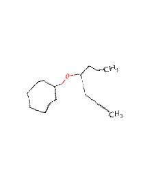 CCCC(CC)OC1CCCCC1